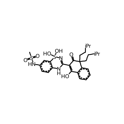 CC(C)CCC1(CCC(C)C)C(=O)C(C2=NS(O)(O)c3cc(NS(C)(=O)=O)ccc3N2)=C(O)c2ccccc21